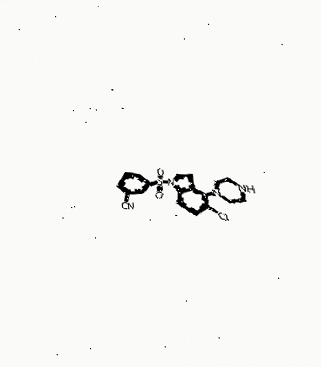 N#Cc1cccc(S(=O)(=O)n2ccc3c(N4CCNCC4)c(Cl)ccc32)c1